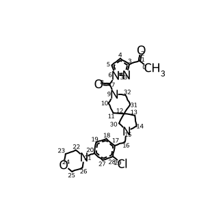 CC(=O)c1ccn(C(=O)N2CCC3(CCN(Cc4ccc(N5CCOCC5)cc4Cl)C3)CC2)n1